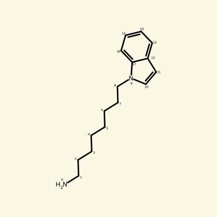 NCCCCCCCCn1ccc2ccccc21